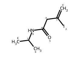 C=C(I)CC(=O)NC(C)C